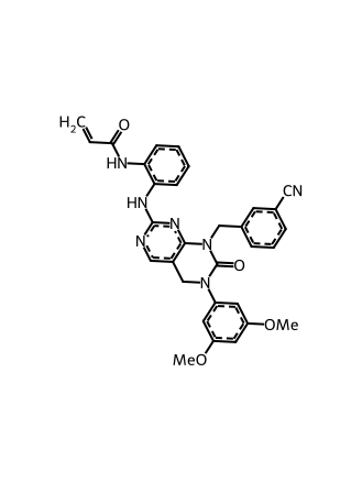 C=CC(=O)Nc1ccccc1Nc1ncc2c(n1)N(Cc1cccc(C#N)c1)C(=O)N(c1cc(OC)cc(OC)c1)C2